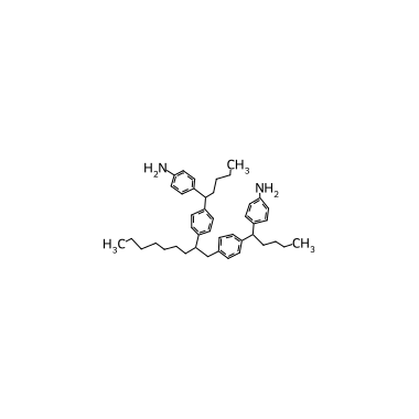 CCCCCCCC(Cc1ccc(C(CCCC)c2ccc(N)cc2)cc1)c1ccc(C(CCCC)c2ccc(N)cc2)cc1